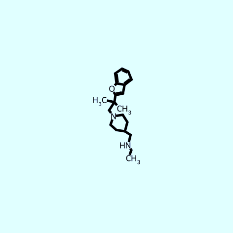 CCNCC1CCN(CC(C)(C)c2cc3ccccc3o2)CC1